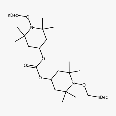 CCCCCCCCCCCON1C(C)(C)CC(OC(=O)OC2CC(C)(C)N(OCCCCCCCCCC)C(C)(C)C2)CC1(C)C